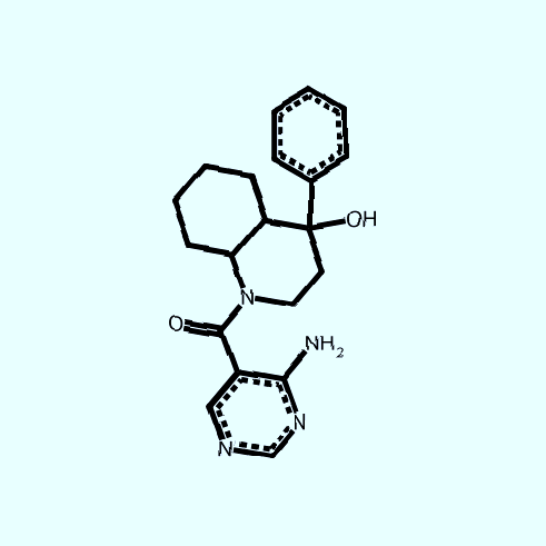 Nc1ncncc1C(=O)N1CCC(O)(c2ccccc2)C2CCCCC21